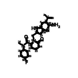 C=C(C)c1cc2[nH]c(Cn3c(C(=O)N(C)c4ccc(F)cc4)cccc3=O)cc2nc1N